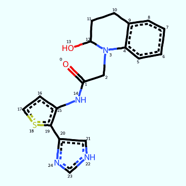 O=C(CN1c2ccccc2CCC1O)Nc1ccsc1-c1c[nH]cn1